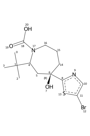 CC(C)(C)C1C[C@@](O)(c2ncc(Br)s2)CCCN1C(=O)O